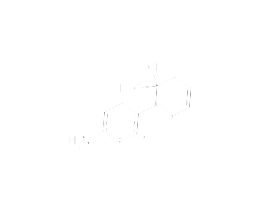 CC1(C)CC=CC=C1c1ccc(N)cc1